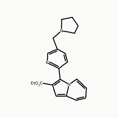 CCOC(=O)c1cc2ccccn2c1-c1ccc(CN2CCCC2)cn1